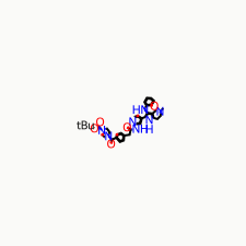 CN1CCc2[nH]c(-c3ccnc(NC(=O)Cc4ccc(C(=O)N5CCN(C(=O)OC(C)(C)C)CC5)cc4)c3)c(Nc3ccccc3)c2C1=O